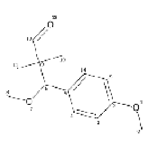 COc1ccc(C(OC)C(C)(C)C=O)cc1